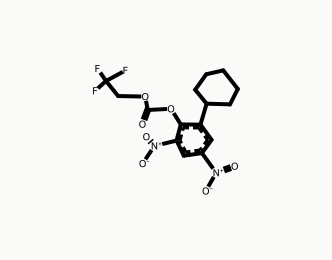 O=C(OCC(F)(F)F)Oc1c(C2CCCCC2)cc([N+](=O)[O-])cc1[N+](=O)[O-]